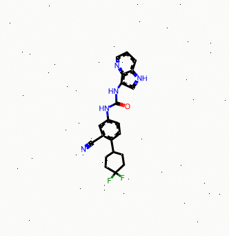 N#Cc1cc(NC(=O)Nc2c[nH]c3cccnc23)ccc1C1CCC(F)(F)CC1